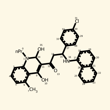 CCCN1c2cccc(C)c2C(O)=C(C(=O)CC(Nc2cccc3ccccc23)c2ccc(Cl)cc2)C1O